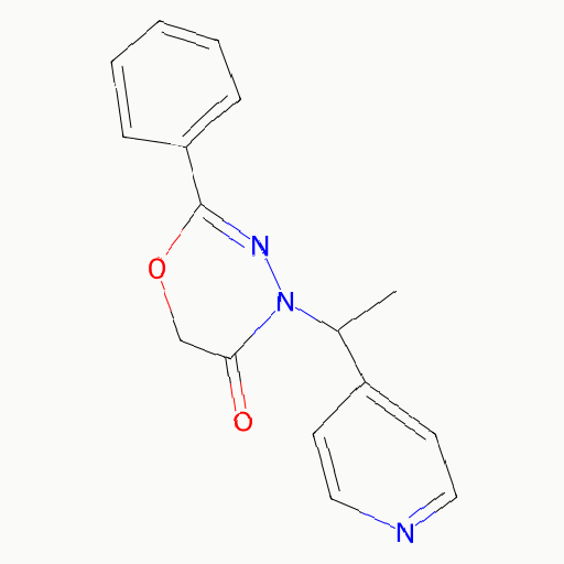 CC(c1ccncc1)N1N=C(c2ccccc2)OCC1=O